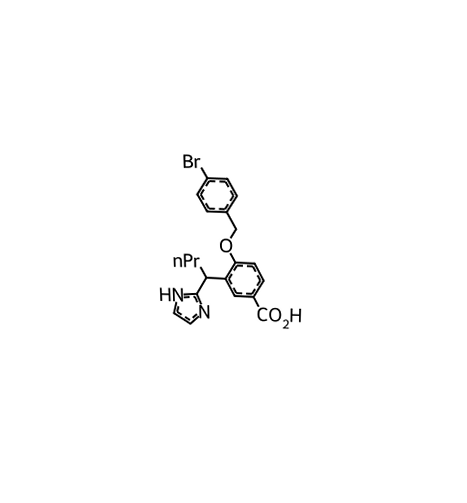 CCCC(c1ncc[nH]1)c1cc(C(=O)O)ccc1OCc1ccc(Br)cc1